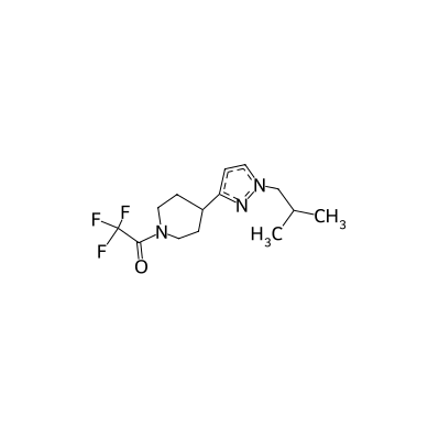 CC(C)Cn1ccc(C2CCN(C(=O)C(F)(F)F)CC2)n1